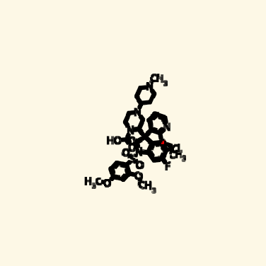 CCOc1ncccc1C1(C2CN(C3CCN(C)CC3)CCN2C(=O)O)C(=O)N(S(=O)(=O)c2ccc(OC)cc2OC)c2cc(F)c(Cl)cc21